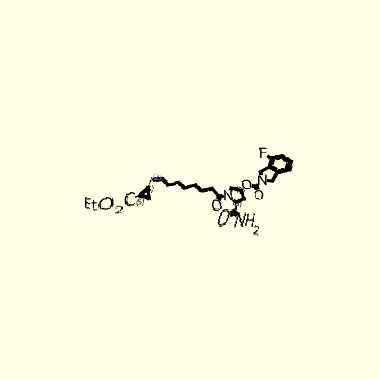 CCOC(=O)[C@H]1C[C@H]1/C=C\CCCCCCC(=O)N1C[C@H](OC(=O)N2Cc3cccc(F)c3C2)C[C@H]1C(N)=O